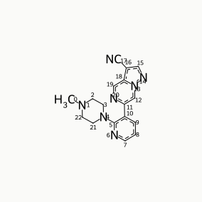 CN1CCN(c2ncccc2-c2cn3ncc(C#N)c3cn2)CC1